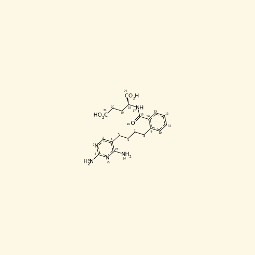 Nc1ncc(CCCCc2ccccc2C(=O)N[C@@H](CCC(=O)O)C(=O)O)c(N)n1